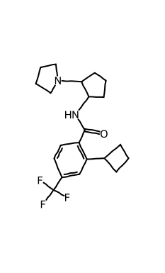 O=C(NC1CCCC1N1CCCC1)c1ccc(C(F)(F)F)cc1C1CCC1